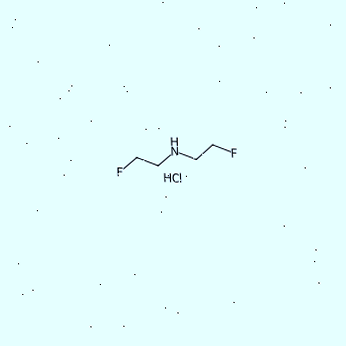 Cl.FCCNCCF